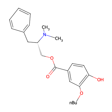 CCCCOc1cc(C(=O)OC[C@H](Cc2ccccc2)N(C)C)ccc1O